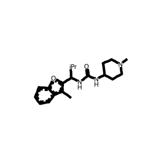 Cc1c(C(NC(=O)NC2CCN(C)CC2)C(C)C)oc2ccccc12